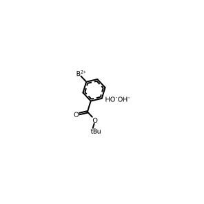 [B+2]c1cccc(C(=O)OC(C)(C)C)c1.[OH-].[OH-]